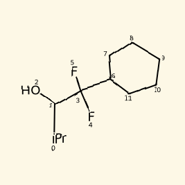 CC(C)C(O)C(F)(F)C1CCCCC1